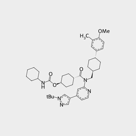 COc1ccc([C@H]2CC[C@H](CN(c3cc(-c4cnn(C(C)(C)C)c4)ccn3)C(=O)[C@H]3CC[C@H](OC(=O)NC4CCCCC4)CC3)CC2)cc1C